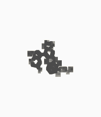 O=C(O)[C@@H]1C(Nc2cc(-c3c[nH]c4ncc(F)cc34)c3nnnn3c2)[C@H]2CC[C@@H]1CC2